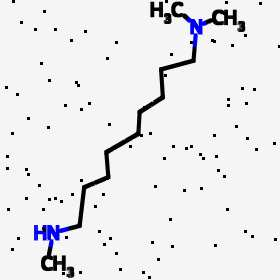 CNCCCCCCCCCN(C)C